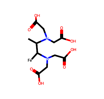 CC([CH]([Fe])N(CC(=O)O)CC(=O)O)N(CC(=O)O)CC(=O)O